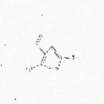 Bc1ccc(B)c(C=O)c1